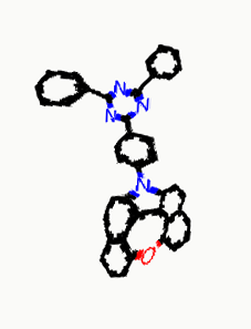 c1ccc(-c2nc(-c3ccccc3)nc(-c3ccc(-n4c5ccc6cccc7oc8cccc9ccc4c(c98)c5c67)cc3)n2)cc1